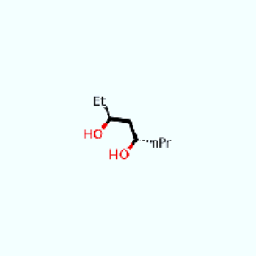 CCC[C@H](O)C[C@@H](O)CC